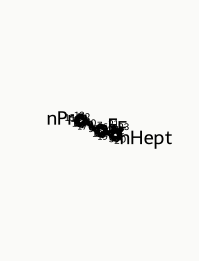 CCCCCCCc1ccc(-c2ccc(CCc3ccc(CCC)cc3)cc2)c(F)c1F